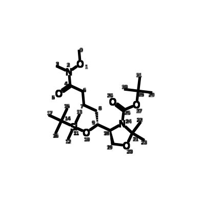 CON(C)C(=O)CCC[C@@H](O[Si](C)(C)C(C)(C)C)[C@@H]1COC(C)(C)N1C(=O)OC(C)(C)C